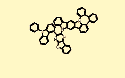 c1ccc(-n2c3ccccc3c3c(-c4nc5oc6ccccc6c5nc4-n4c5ccccc5c5cc6c(cc54)c4cccc5c4n6-c4ccccc4-c4ccccc4-5)cccc32)cc1